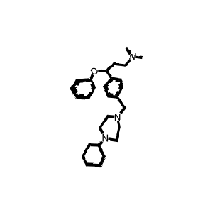 CN(C)CCC(Oc1ccccc1)c1ccc(CN2CCN(C3CCCCC3)CC2)cc1